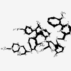 COc1ccccc1-c1nccc(COc2ccc(O)cc2CC(Oc2nccn3c(Cl)c(-c4ccc(F)cc4)c(-c4ccc(OC(CO)CN5CCN(C)CC5)c(Cl)c4C)c23)C(=O)O)n1